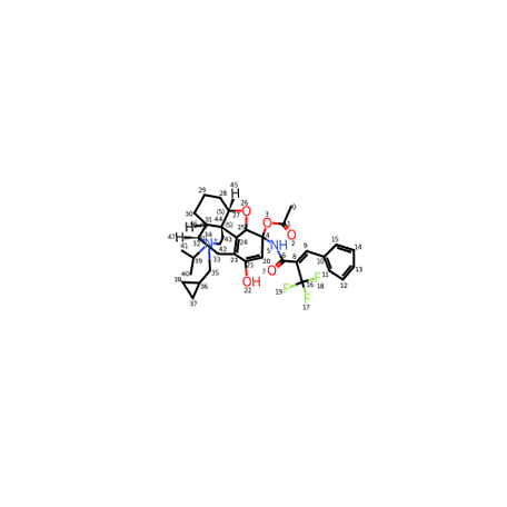 CC(=O)OC1(NC(=O)C(=Cc2ccccc2)C(F)(F)F)C=C(O)C2=C3C1O[C@H]1CCC[C@H]4[C@@H](C2)[N+](CC2CC2)(C(C)C)CC[C@]314